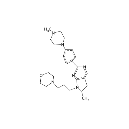 CC1Cc2cnc(-c3ccc(N4CCN(C)CC4)cc3)nc2N1CCCN1CCOCC1